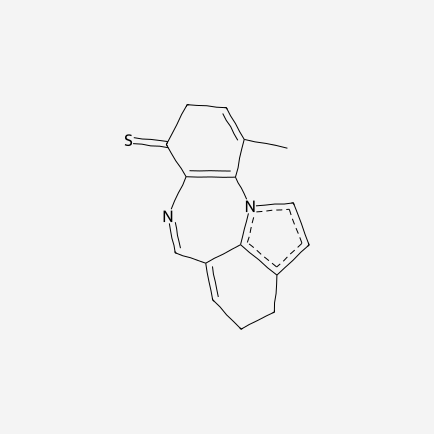 CC1=CCC(=S)C2=C1n1ccc3c1C(=CCC3)C=N2